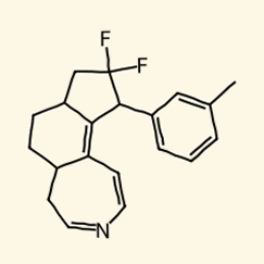 Cc1cccc(C2C3=C4C=CN=CCC4CCC3CC2(F)F)c1